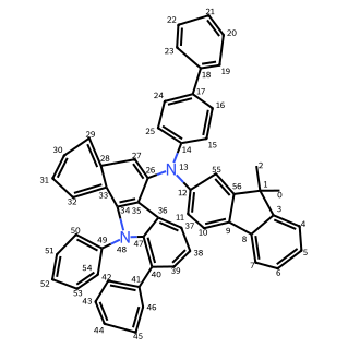 CC1(C)c2ccccc2-c2ccc(N(c3ccc(-c4ccccc4)cc3)c3cc4ccccc4c4c3c3cccc(-c5ccccc5)c3n4-c3ccccc3)cc21